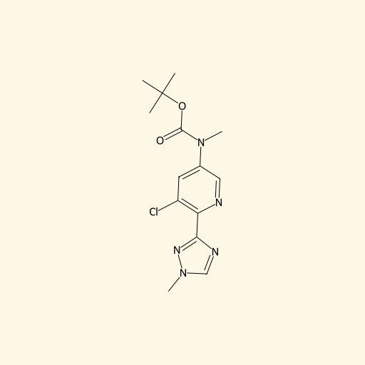 CN(C(=O)OC(C)(C)C)c1cnc(-c2ncn(C)n2)c(Cl)c1